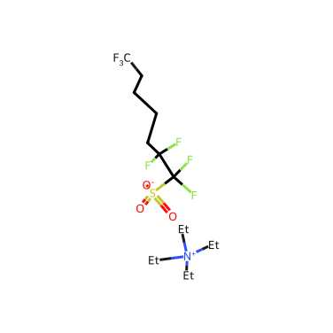 CC[N+](CC)(CC)CC.O=S(=O)([O-])C(F)(F)C(F)(F)CCCCC(F)(F)F